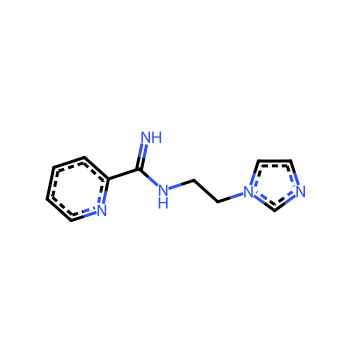 N=C(NCCn1ccnc1)c1ccccn1